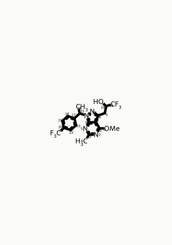 COc1nc(C)nc2c1c(CC(O)C(F)(F)F)nn2C(C)c1ccc(C(F)(F)F)cc1